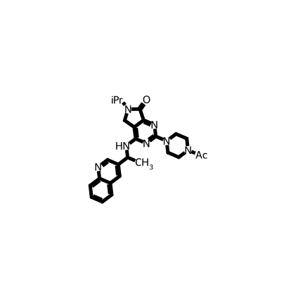 CC(=O)N1CCN(c2nc(NC(C)c3cnc4ccccc4c3)c3c(n2)C(=O)N(C(C)C)C3)CC1